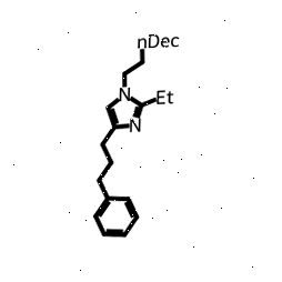 CCCCCCCCCCCCn1cc(CCCc2ccccc2)nc1CC